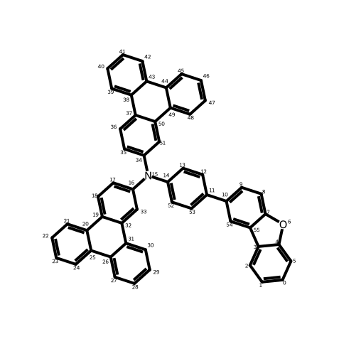 c1ccc2c(c1)oc1ccc(-c3ccc(N(c4ccc5c6ccccc6c6ccccc6c5c4)c4ccc5c6ccccc6c6ccccc6c5c4)cc3)cc12